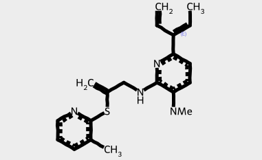 C=C/C(=C\C)c1ccc(NC)c(NCC(=C)Sc2ncccc2C)n1